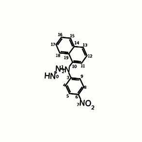 N=NN(c1ccc([N+](=O)[O-])cc1)c1cccc2ccccc12